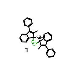 CC1=C(c2ccccc2)c2ccccc2C1(Cl)[SiH2]C1(Cl)C(C)=C(c2ccccc2)c2ccccc21.[Ti]